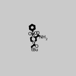 CC(C)(C)CC(=O)N1CCN(S(=O)(=O)c2ccccc2)C(C(N)=O)C1